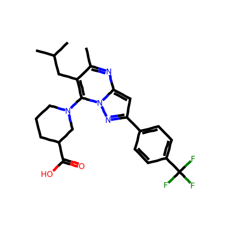 Cc1nc2cc(-c3ccc(C(F)(F)F)cc3)nn2c(N2CCCC(C(=O)O)C2)c1CC(C)C